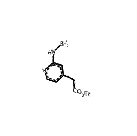 BNc1cc(CC(=O)OCC)ccn1